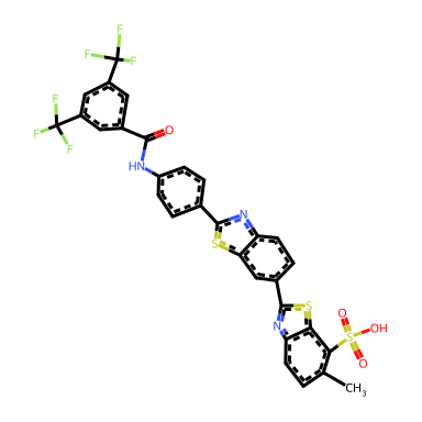 Cc1ccc2nc(-c3ccc4nc(-c5ccc(NC(=O)c6cc(C(F)(F)F)cc(C(F)(F)F)c6)cc5)sc4c3)sc2c1S(=O)(=O)O